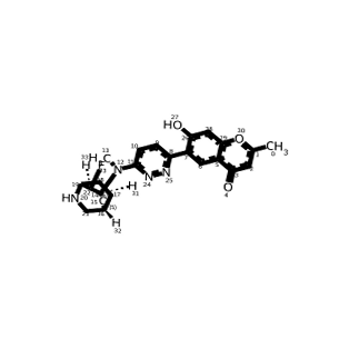 Cc1cc(=O)c2cc(-c3ccc(N(C)[C@H]4C[C@@H]5CCC(NC5)[C@H]4F)nn3)c(O)cc2o1